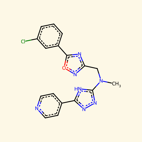 CN(Cc1noc(-c2cccc(Cl)c2)n1)c1nnc(-c2ccncc2)[nH]1